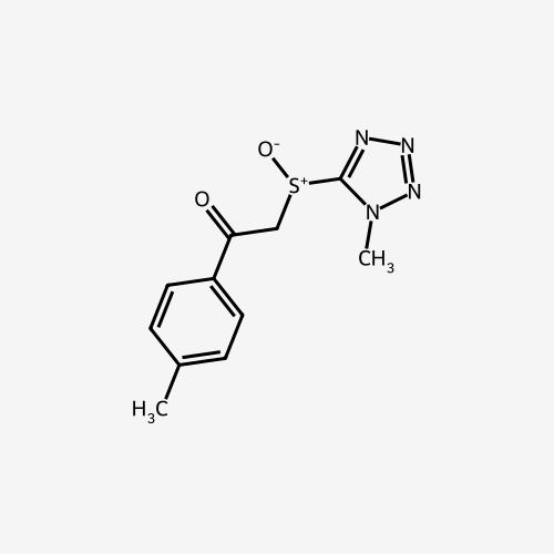 Cc1ccc(C(=O)C[S+]([O-])c2nnnn2C)cc1